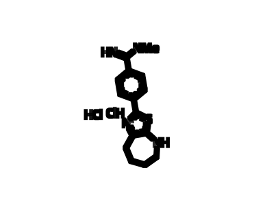 CNC(=N)c1ccc(-c2nc3c(s2)NCCCC3)cc1.Cl.Cl